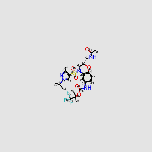 CC(=O)NC[C@H]1CN(S(=O)(=O)c2cn(C(C)C)nc2C)c2cc(NC(=O)OC(C)(C)C(F)(F)F)ccc2O1